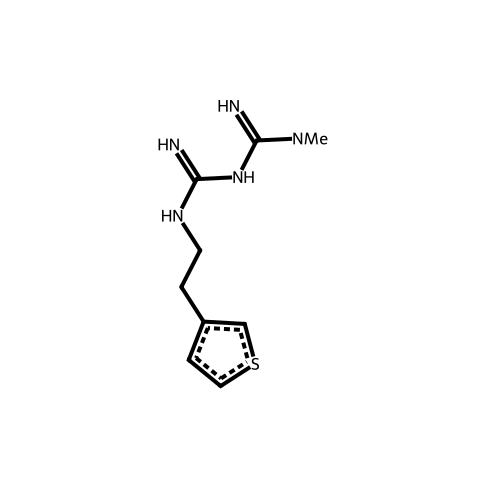 CNC(=N)NC(=N)NCCc1ccsc1